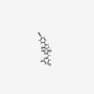 N#Cc1ccc(N2CC[C@@](O)(C(=O)NCc3cc(F)cc(Cl)c3)C2=O)cc1